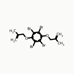 C=C(C)COc1c(Br)c(Br)c(OCC(=C)C)c(Br)c1Br